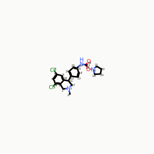 CN1Cc2c(Cl)cc(Cl)cc2C(c2ccc(NC(=O)ON3CCCC3)cc2)C1